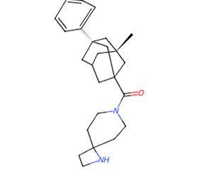 C[C@]12CC3CC(C(=O)N4CCC5(CCN5)CC4)(C1)C[C@@](c1ccccc1)(C3)C2